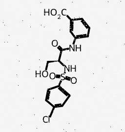 O=C(O)c1cccc(NC(=O)[C@H](CO)NS(=O)(=O)c2ccc(Cl)cc2)c1